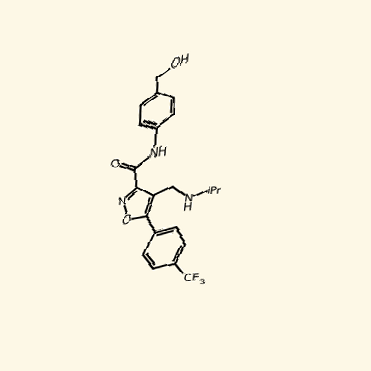 CC(C)NCc1c(C(=O)Nc2ccc(CO)cc2)noc1-c1ccc(C(F)(F)F)cc1